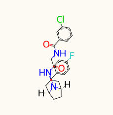 O=C(CNC(=O)c1cccc(Cl)c1)N[C@H]1C[C@H]2CC[C@@H](C1)N2Cc1ccc(F)cc1